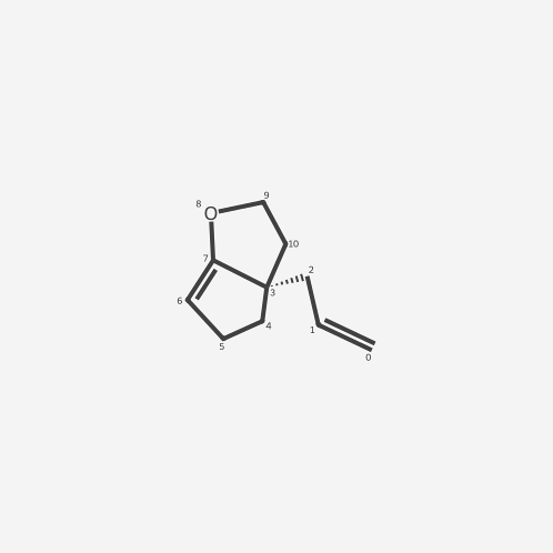 C=CC[C@]12CCC=C1OCC2